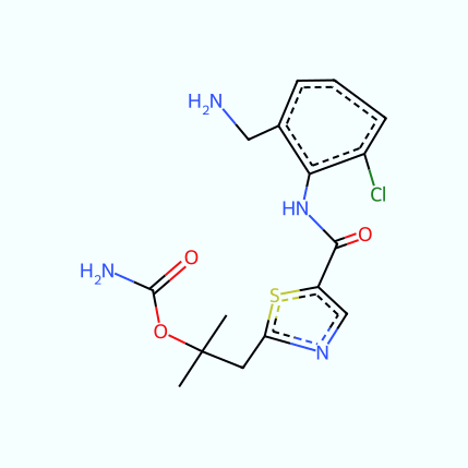 CC(C)(Cc1ncc(C(=O)Nc2c(Cl)cccc2CN)s1)OC(N)=O